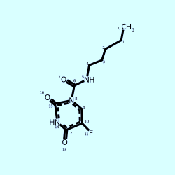 CCCCCNC(=O)n1cc(F)c(=O)[nH]c1=O